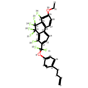 C=CCCc1ccc(OC(F)(F)c2ccc3c(c2F)C(F)(F)C(F)(F)c2c-3ccc(OCC)c2F)cc1